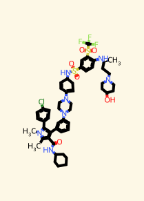 Cc1c(C(=O)NC2CCCCC2)c(-c2cccc(N3CCN(C4=CCC(NS(=O)(=O)c5ccc(N[C@@H](C)CCN6CCC(O)CC6)c(S(=O)(=O)C(F)(F)F)c5)C=C4)CC3)c2)c(-c2ccc(Cl)cc2)n1C